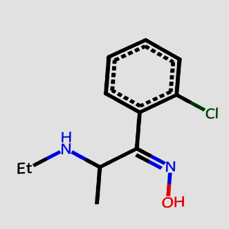 CCNC(C)C(=NO)c1ccccc1Cl